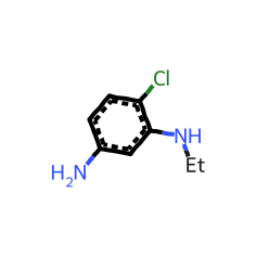 CCNc1cc(N)ccc1Cl